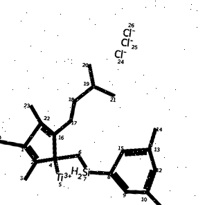 CC1=C(C)[C]([Ti+3])(C[SiH2]c2cc(C)cc(C)c2)C(CCC(C)C)=C1C.[Cl-].[Cl-].[Cl-]